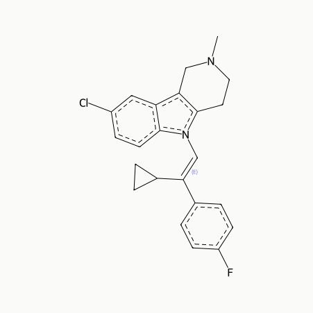 CN1CCc2c(c3cc(Cl)ccc3n2/C=C(/c2ccc(F)cc2)C2CC2)C1